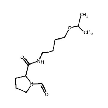 CC(C)OCCCCNC(=O)C1CCCN1C=O